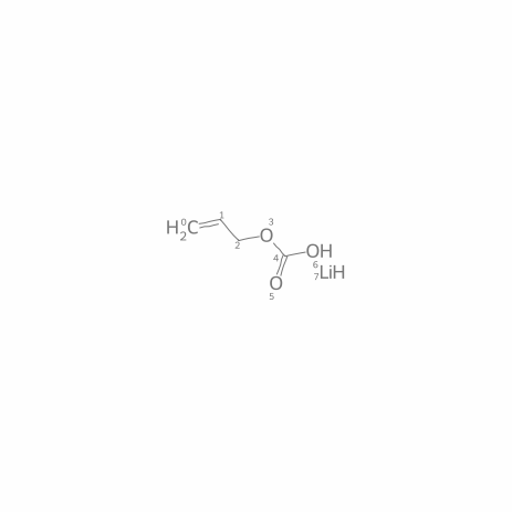 C=CCOC(=O)O.[LiH]